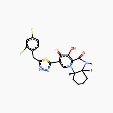 CN1C(=O)c2c(O)c(=O)c(-c3nnc(Cc4ccc(F)cc4F)s3)cn2[C@H]2CCCC[C@H]21